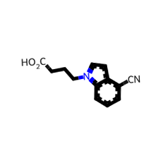 N#Cc1cccc2c1ccn2CCCC(=O)O